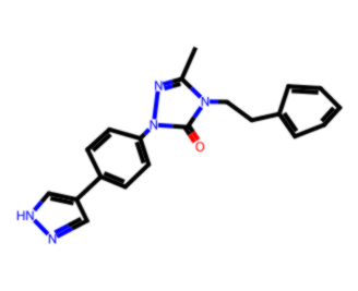 Cc1nn(-c2ccc(-c3cn[nH]c3)cc2)c(=O)n1CCc1ccccc1